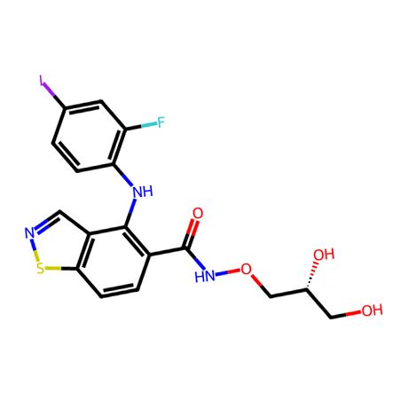 O=C(NOC[C@H](O)CO)c1ccc2sncc2c1Nc1ccc(I)cc1F